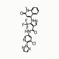 Cn1c(=O)cc(-n2ncc(C(=O)Nc3cnc(-n4nccn4)c(Cl)c3)c2C(F)(F)F)c2ccccc21